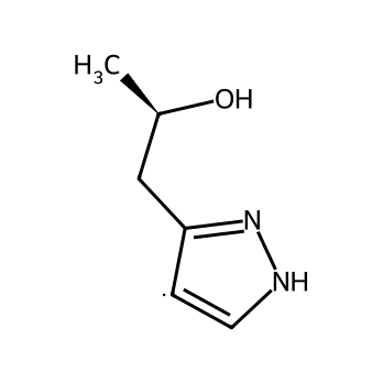 C[C@@H](O)Cc1[c]c[nH]n1